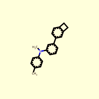 Cc1ccc(N(C)c2cccc(-c3ccc4c(c3)CC4)c2)cc1